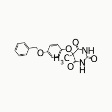 CC1(Oc2ccc(OCc3ccccc3)cc2)C(=O)NC(=O)NC1=O